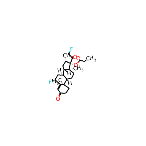 CCC(=O)O[C@@]1(C(=O)CF)[C@@H](C)C[C@H]2[C@@H]3C[C@H](F)C4=CC(=O)CC[C@]4(C)[C@H]3CC[C@@]21C